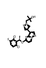 C[C@@H](Oc1ccn2ncc(-c3cnn(CC(C)(C)O)c3)c2n1)c1c(Cl)ccc(F)c1Cl